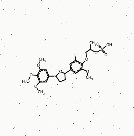 COc1cc(C2CCC(c3cc(OC)c(OC)c(OC)c3)O2)cc(I)c1OCC(C)OS(=O)(=O)O